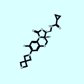 O=C(NC[C@@H]1OC(=O)N2c3cc(F)c(N4CC5(COC5)C4)cc3OC[C@@H]12)C1CC1